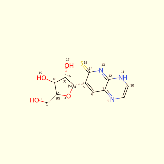 OC[C@H]1O[C@@H](c2cc3ncc[nH]c-3nc2=S)[C@@H](O)C1O